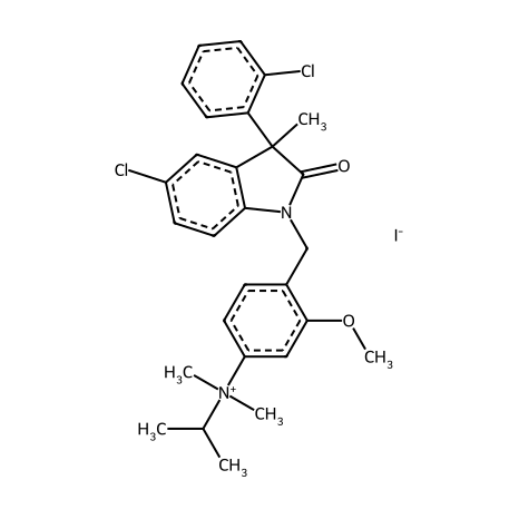 COc1cc([N+](C)(C)C(C)C)ccc1CN1C(=O)C(C)(c2ccccc2Cl)c2cc(Cl)ccc21.[I-]